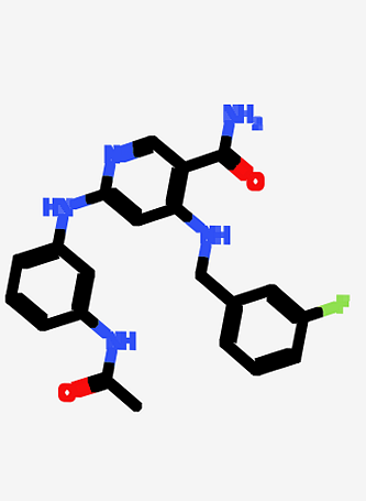 CC(=O)Nc1cccc(Nc2cc(NCc3cccc(F)c3)c(C(N)=O)cn2)c1